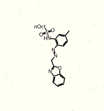 CCCCCCCCS(=O)(=O)Nc1cc(C)ccc1N=NCc1nc2ccccc2o1